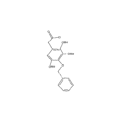 COc1cc(CC(=O)Cl)c(OC)c(OC)c1OCc1ccccc1